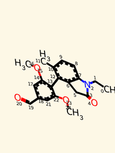 CCN1C(=O)Cc2c1ccc(C)c2-c1c(OC)cc(C=O)cc1OC